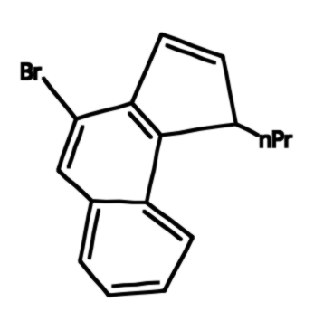 CCCC1C=Cc2c(Br)cc3ccccc3c21